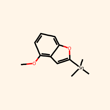 COc1cccc2o[c]([Sn]([CH3])([CH3])[CH3])cc12